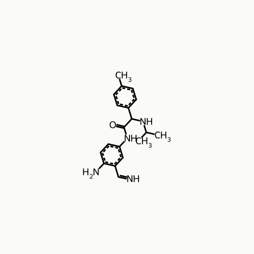 Cc1ccc(C(NC(C)C)C(=O)Nc2ccc(N)c(C=N)c2)cc1